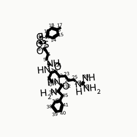 CCC(NNCCC(=O)SS(=O)(=O)c1ccc(C)cc1)C(=O)C(CCCNC(=N)N)NC(=O)C(N)Cc1ccccc1